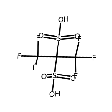 O=S(=O)(O)C(C(F)(F)F)(C(F)(F)F)S(=O)(=O)O